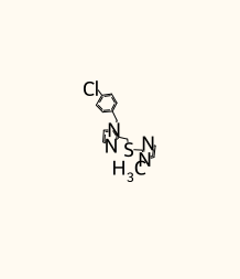 Cn1ccnc1SCc1nccn1Cc1ccc(Cl)cc1